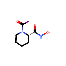 O=C(NO)[C@@H]1CCCCN1C(=O)I